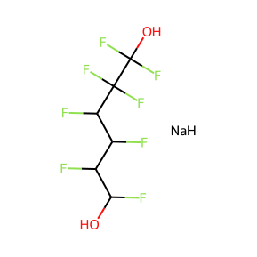 OC(F)C(F)C(F)C(F)C(F)(F)C(O)(F)F.[NaH]